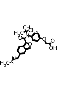 CSN=Cc1ccc2c(C(=O)N(c3ccc(OCC(=O)O)cc3)C(C)(C)C)occ2c1